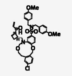 C=C[C@@H](O)[C@@H]1CC[C@H]1CN1COCCc2cc(Cl)ccc2COc2ccc(S(=O)(=O)N(Cc3ccc(OC)cc3)Cc3ccc(OC)cc3)cc21